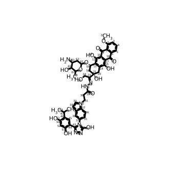 COc1cccc2c1C(=O)c1c(O)c3c(c(O)c1C2=O)C[C@@](O)(/C(CO)=N/NC(=O)CCn1ccc2cc(-n4c(O)nnc4-c4cc(C(C)C)c(O)cc4O)ccc21)C[C@@H]3OC1CC(N)C(O)C(C)O1